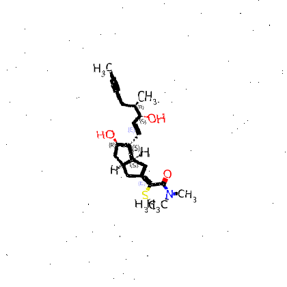 CC#CC[C@@H](C)[C@H](O)/C=C/[C@@H]1[C@H]2C/C(=C(/SC)C(=O)N(C)C)C[C@H]2C[C@H]1O